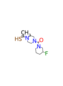 C[C@H](S)N1CCN(C(=O)N2CCCC(F)C2)CC1